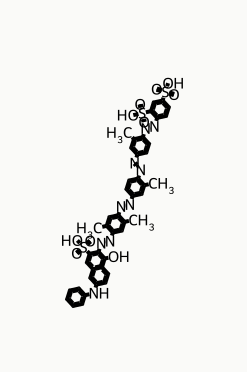 Cc1cc(N=Nc2cc(C)c(N=Nc3c(S(=O)(=O)O)cc4cc(Nc5ccccc5)ccc4c3O)cc2C)ccc1N=Nc1ccc(N=Nc2ccc(S(=O)(=O)O)cc2S(=O)(=O)O)c(C)c1